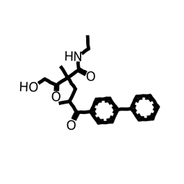 CCNC(=O)C(C)(CC(C)C(=O)c1ccc(-c2ccccc2)cc1)C(=O)CO